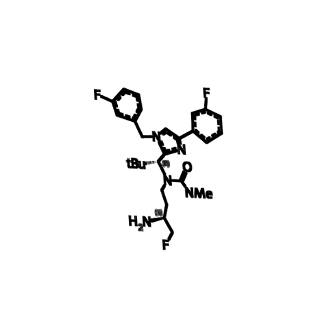 CNC(=O)N(CC[C@H](N)CF)[C@@H](c1nc(-c2cccc(F)c2)cn1Cc1cccc(F)c1)C(C)(C)C